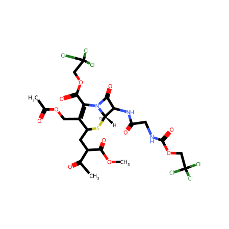 COC(=O)C(CC1S[C@H]2C(NC(=O)CNC(=O)OCC(Cl)(Cl)Cl)C(=O)N2C(C(=O)OCC(Cl)(Cl)Cl)=C1COC(C)=O)C(C)=O